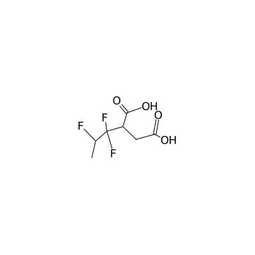 CC(F)C(F)(F)C(CC(=O)O)C(=O)O